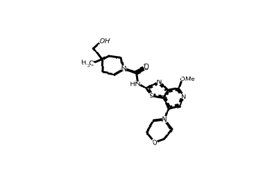 COc1ncc(N2CCOCC2)c2sc(NC(=O)N3CCC(C)(CO)CC3)nc12